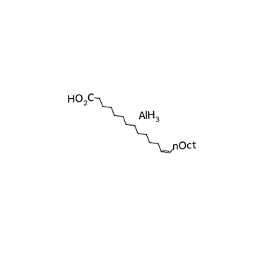 CCCCCCCC/C=C\CCCCCCCCCCCC(=O)O.[AlH3]